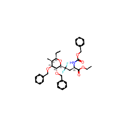 CCOC(=O)[C@@H](CC(F)(F)[C@@H]1O[C@H](CC)[C@H](C)[C@H](OCc2ccccc2)[C@H]1OCc1ccccc1)NC(=O)OCc1ccccc1